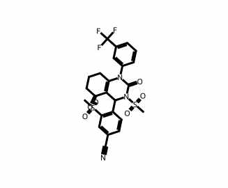 CS(=O)(=O)c1cc(C#N)ccc1C1C2=C(CCCC2=O)N(c2cccc(C(F)(F)F)c2)C(=O)N1S(C)(=O)=O